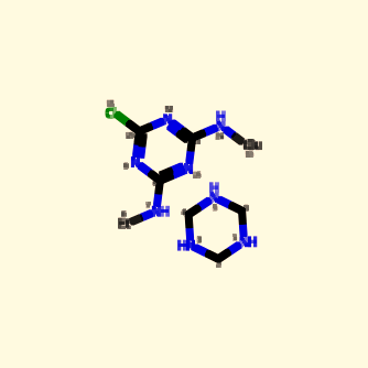 C1NCNCN1.CCNc1nc(Cl)nc(NC(C)(C)C)n1